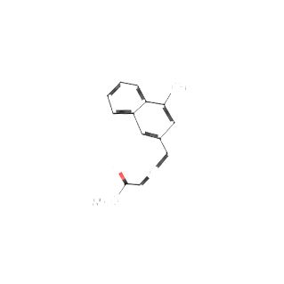 COC(=O)C=C=Cc1cc(C)c2ccccc2c1